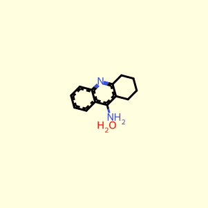 Nc1c2c(nc3ccccc13)CCCC2.O